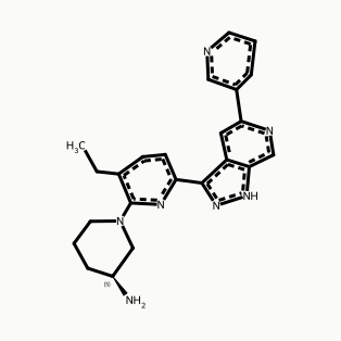 CCc1ccc(-c2n[nH]c3cnc(-c4cccnc4)cc23)nc1N1CCC[C@H](N)C1